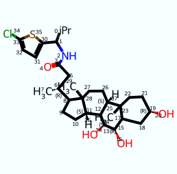 CC(C)C(NC(=O)C[C@@H](C)C1CC[C@H]2C3[C@H](O)[C@H](O)C4C[C@H](O)CCC4(C)[C@H]3CCC12C)c1ccc(Cl)s1